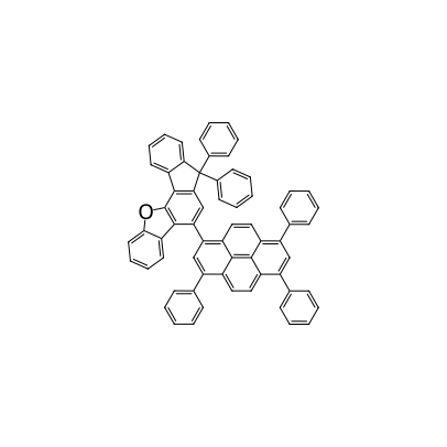 c1ccc(-c2cc(-c3ccccc3)c3ccc4c(-c5cc6c(c7oc8ccccc8c57)-c5ccccc5C6(c5ccccc5)c5ccccc5)cc(-c5ccccc5)c5ccc2c3c54)cc1